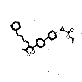 CCOC(=O)[C@@H]1C[C@H]1c1ccc(-c2ccc(-c3onc(C)c3/C=C/CCc3ccccc3)cc2)cc1